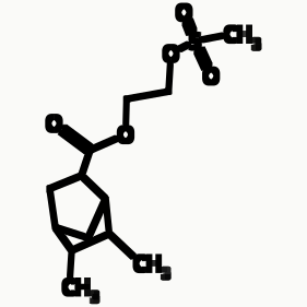 CC1C2CC(C(=O)OCCOS(C)(=O)=O)C(C2)C1C